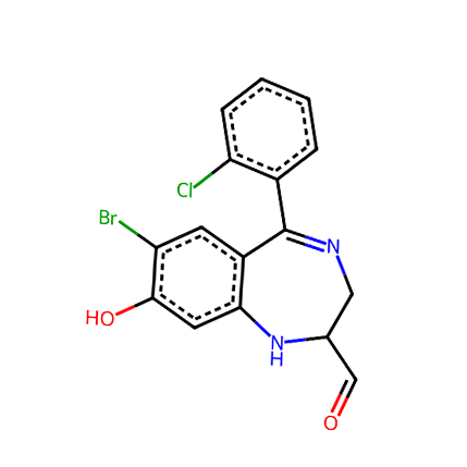 O=CC1CN=C(c2ccccc2Cl)c2cc(Br)c(O)cc2N1